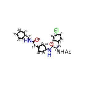 CC(=O)N/C(=C/c1ccc(Cl)cc1)C(=O)Nc1ccc(CC(=O)NCc2ccccc2)cc1